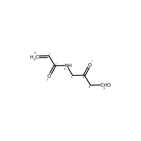 C=CC(=O)NCC(=O)CC=O